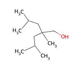 CC(C)CC(C)(CO)CC(C)C